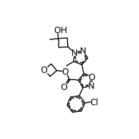 Cc1c(-c2onc(-c3ccccc3Cl)c2C(=O)OC2COC2)cnn1C1CC(C)(O)C1